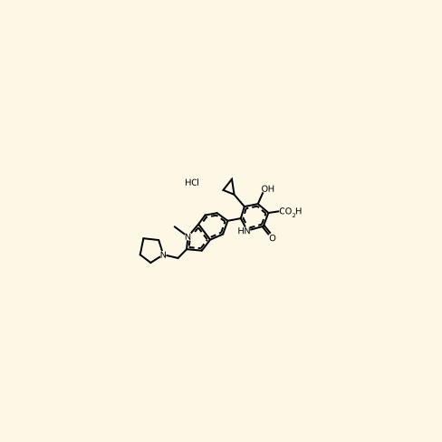 Cl.Cn1c(CN2CCCC2)cc2cc(-c3[nH]c(=O)c(C(=O)O)c(O)c3C3CC3)ccc21